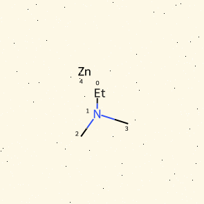 [CH2]CN(C)C.[Zn]